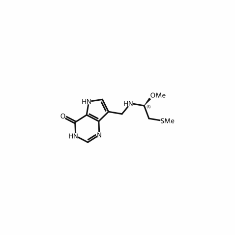 CO[C@@H](CSC)NCc1c[nH]c2c(=O)[nH]cnc12